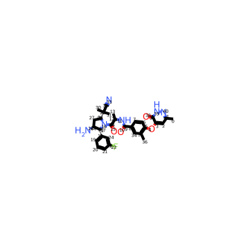 Cc1cc(Oc2ccc(C(=O)NC(C)C(=O)N3[C@H](c4cccc(F)c4)[C@@H](N)C[C@@H]3C(C)(C)C#N)cc2C)c(=O)[nH]n1